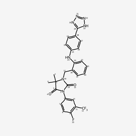 CC1(C)C(=O)N(c2ccc(F)c(C(F)(F)F)c2)C(=O)N1Cc1ccccc1Nc1ccc(-c2nnn[nH]2)cc1